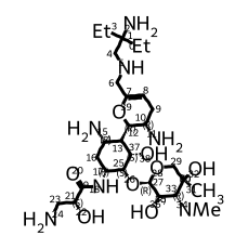 CCC(N)(CC)CNCC1=CC[C@@H](N)[C@@H](C2[C@@H](N)C[C@@H](NC(=O)[C@@H](O)CN)[C@H](O[C@H]3OC[C@](C)(O)[C@H](NC)[C@H]3O)[C@H]2O)O1